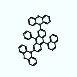 c1ccc(-c2c3cc(N4c5ccccc5Sc5ccccc54)ccc3c(-c3cccc4ccccc34)c3ccc(N4c5ccccc5Sc5ccccc54)cc23)cc1